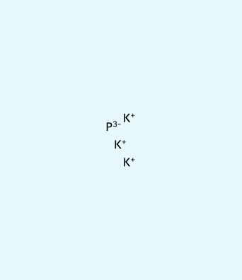 [K+].[K+].[K+].[P-3]